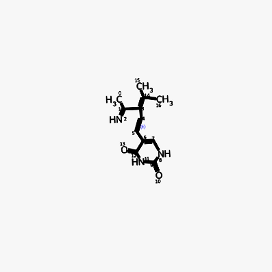 CC(=N)C(/C=C/c1c[nH]c(=O)[nH]c1=O)=C(C)C